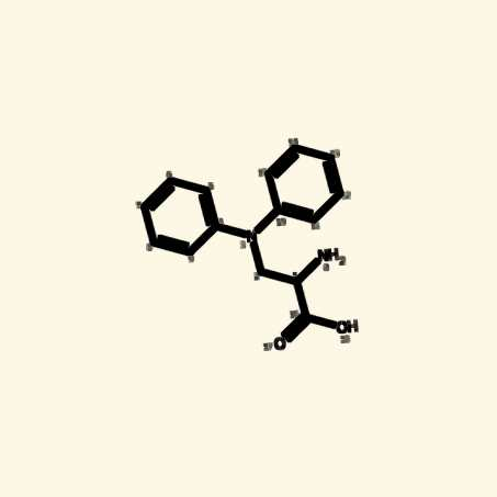 NC(CN(c1ccccc1)c1ccccc1)C(=O)O